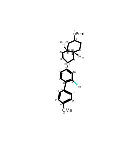 CCCCCC1CC[C@@H]2C[C@H](c3ccc(-c4ccc(OC)cc4)c(F)c3)CC[C@@H]2C1